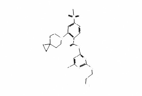 Cc1cc(NC(=O)c2ccc(S(C)(=O)=O)cc2N2CCC3(CC2)CC3)nc(N[C@H](C)CO)n1